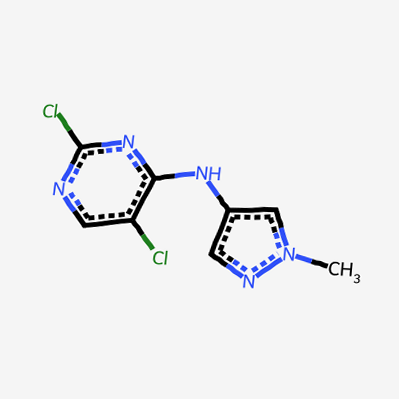 Cn1cc(Nc2nc(Cl)ncc2Cl)cn1